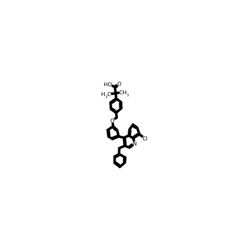 CC(C)(C(=O)O)c1ccc(COc2cccc(-c3c(Cc4ccccc4)cnc4c(Cl)cccc34)c2)cc1